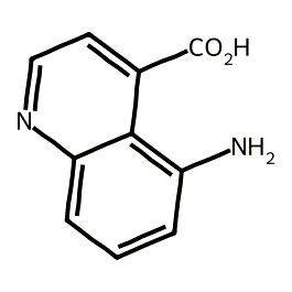 Nc1cccc2nccc(C(=O)O)c12